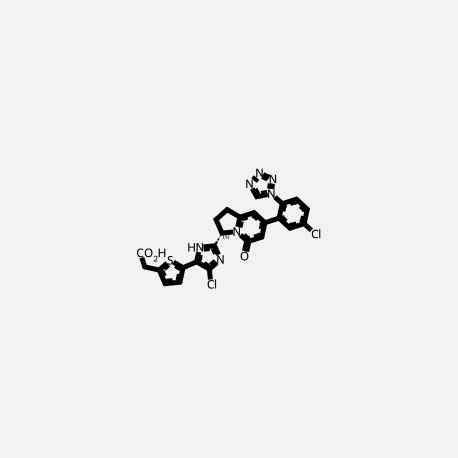 O=C(O)Cc1ccc(-c2[nH]c([C@@H]3CCc4cc(-c5cc(Cl)ccc5-n5cnnn5)cc(=O)n43)nc2Cl)s1